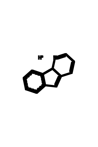 C1=CC2=Cc3ccccc3C2N=C1.[H+]